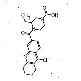 CCC1CN(C(=O)O)CCN1C(=O)c1ccc2c(Cl)c3c(nc2c1)CCCC3